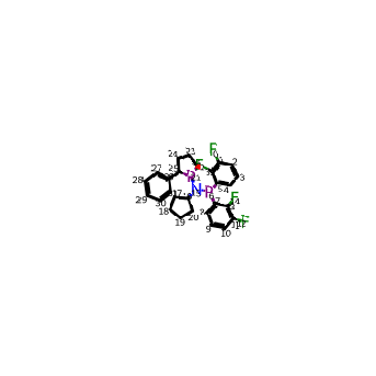 Fc1cccc(P(c2cccc(F)c2F)N(C2CCCC2)P2CCCC2c2ccccc2)c1F